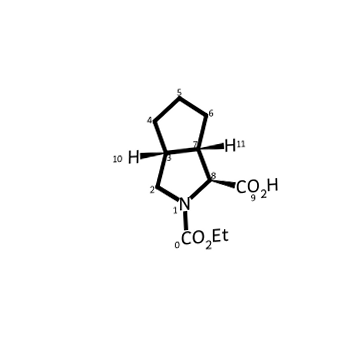 CCOC(=O)N1C[C@@H]2CCC[C@@H]2[C@H]1C(=O)O